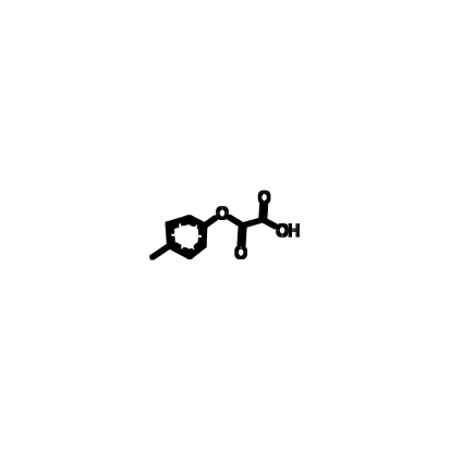 Cc1ccc(OC(=O)C(=O)O)cc1